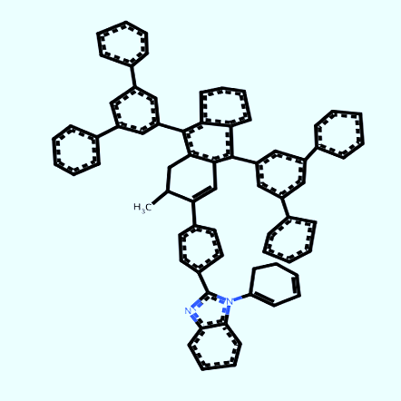 CC1Cc2c(c(-c3cc(-c4ccccc4)cc(-c4ccccc4)c3)c3ccccc3c2-c2cc(-c3ccccc3)cc(-c3ccccc3)c2)C=C1c1ccc(-c2nc3ccccc3n2C2=CC=CCC2)cc1